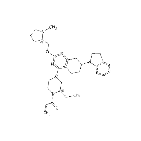 C=CC(=O)N1CCN(c2nc(OC[C@@H]3CCCN3C)nc3c2CCC(N2CCc4ccccc42)C3)C[C@@H]1CC#N